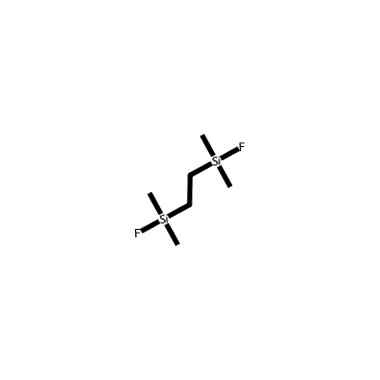 C[Si](C)(F)CC[Si](C)(C)F